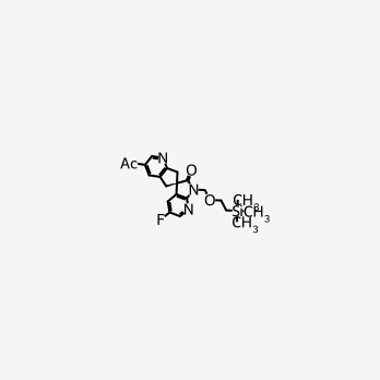 CC(=O)c1cnc2c(c1)C[C@@]1(C2)C(=O)N(COCC[Si](C)(C)C)c2ncc(F)cc21